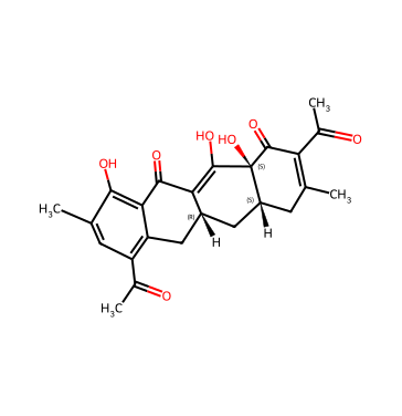 CC(=O)C1=C(C)C[C@@H]2C[C@@H]3Cc4c(C(C)=O)cc(C)c(O)c4C(=O)C3=C(O)[C@]2(O)C1=O